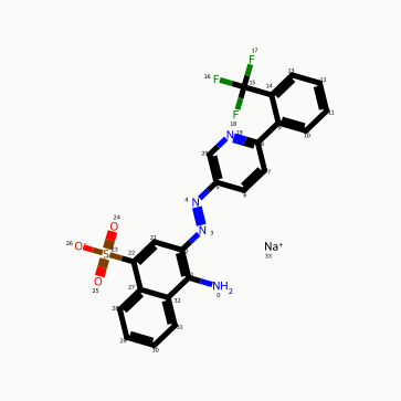 Nc1c(N=Nc2ccc(-c3ccccc3C(F)(F)F)nc2)cc(S(=O)(=O)[O-])c2ccccc12.[Na+]